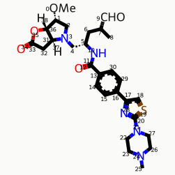 CO[C@@H]1CN(C[C@H](CC(C)C=O)NC(=O)c2ccc(-c3csc(N4CCN(C)CC4)n3)cc2)[C@H]2CC(=O)O[C@H]12